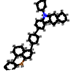 c1ccc(-n2c3ccc(-c4ccc(-c5ccc6c7c(cccc57)-c5ccccc5S6)cc4)cc3c3cc4ccccc4cc32)cc1